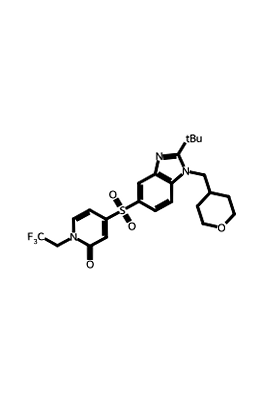 CC(C)(C)c1nc2cc(S(=O)(=O)c3ccn(CC(F)(F)F)c(=O)c3)ccc2n1CC1CCOCC1